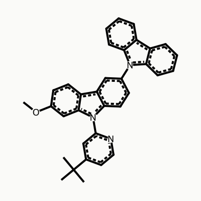 COc1ccc2c3cc(-n4c5ccccc5c5ccccc54)ccc3n(-c3cc(C(C)(C)C)ccn3)c2c1